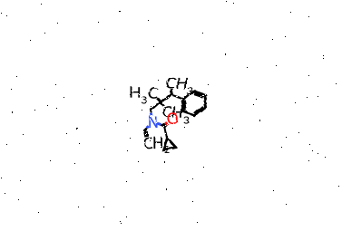 C=CN(CC(C)(C)C(C)c1ccccc1)C(=O)C1CC1